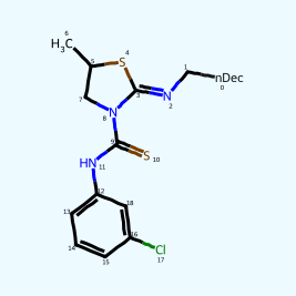 CCCCCCCCCCCN=C1SC(C)CN1C(=S)Nc1cccc(Cl)c1